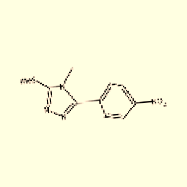 CSc1nnc(-c2[c]cc([N+](=O)[O-])cc2)n1C